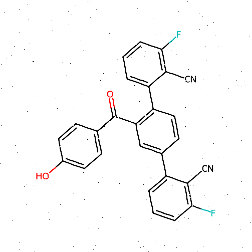 N#Cc1c(F)cccc1-c1ccc(-c2cccc(F)c2C#N)c(C(=O)c2ccc(O)cc2)c1